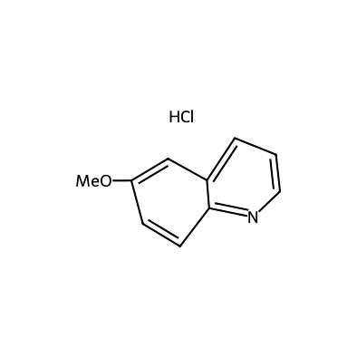 COc1ccc2ncccc2c1.Cl